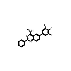 CNc1nc(-c2ccccc2)nc2ccc(-c3cc(F)c(F)c(F)c3)cc12